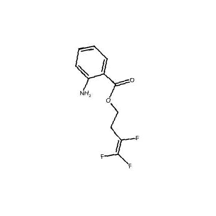 Nc1ccccc1C(=O)OCCC(F)=C(F)F